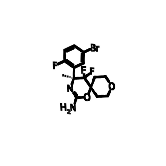 C[C@@]1(c2cc(Br)ccc2F)N=C(N)OC2(CCOCC2)C1(F)F